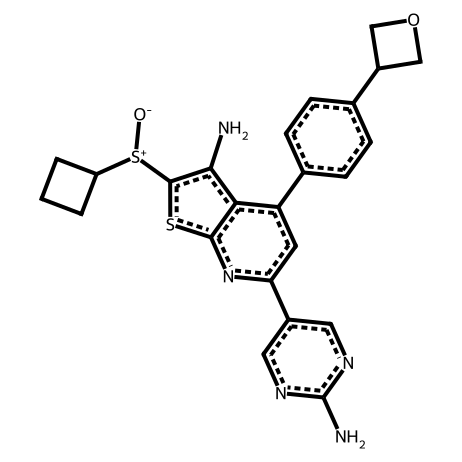 Nc1ncc(-c2cc(-c3ccc(C4COC4)cc3)c3c(N)c([S+]([O-])C4CCC4)sc3n2)cn1